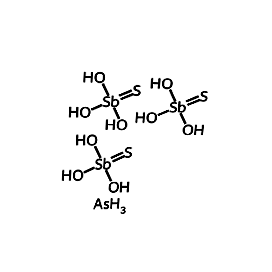 [AsH3].[OH][Sb]([OH])([OH])=[S].[OH][Sb]([OH])([OH])=[S].[OH][Sb]([OH])([OH])=[S]